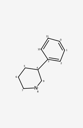 c1ccc(C2CCC[N]C2)cc1